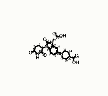 Cn1c(=O)n(C2CCC(=O)NC2=O)c2ccc(N3CCC(C(=O)O)CC3)cc21.O=CO